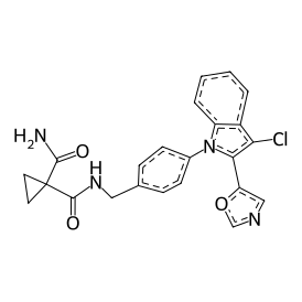 NC(=O)C1(C(=O)NCc2ccc(-n3c(-c4cnco4)c(Cl)c4ccccc43)cc2)CC1